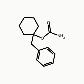 NC(=O)OC1(Cc2ccccc2)CCCCC1